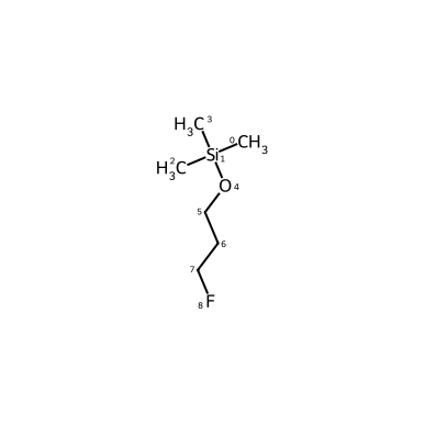 C[Si](C)(C)OCCCF